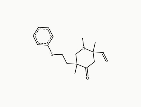 C=CC1(C)CC(=O)C(C)(CCSc2ccccc2)CN1C